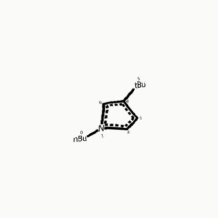 CCCCn1ccc(C(C)(C)C)c1